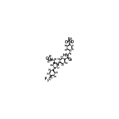 CCS(=O)(=O)c1ccc(CNC(=O)c2ccc(N3CC(c4ccc(C(F)(F)F)cc4)C[C@H]3CN3COC3)cc2)cc1